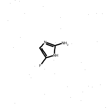 Nc1ncc(F)[nH]1